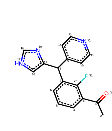 CC(=O)c1cccc(C(c2ccncc2)c2c[nH]cn2)c1F